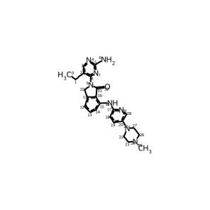 CCc1cnc(N)nc1N1Cc2cccc(Nc3ccc(N4CCN(C)CC4)cn3)c2C1=O